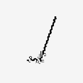 CCC=CCC=CCC=CCC=CCC=CCC=CCCC(=O)NCC(NC(=O)C=CC(=O)OC)C(=O)O